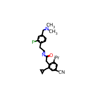 CC(C)c1cc(C#N)cc(C2CC2)c1CC(=O)/N=C/Cc1ccc(CN(C)C)cc1F